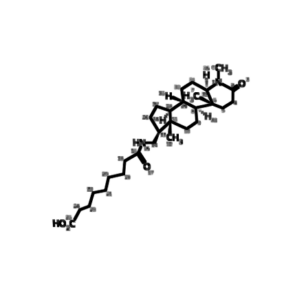 CN1C(=O)CC[C@]2(C)[C@H]3CC[C@]4(C)[C@@H](CNC(=O)CCCCCCCC(=O)O)CC[C@H]4[C@@H]3CC[C@@H]12